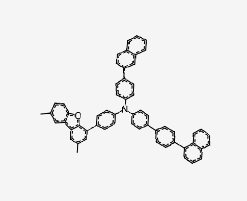 Cc1ccc2oc3c(-c4ccc(N(c5ccc(-c6ccc(-c7cccc8ccccc78)cc6)cc5)c5ccc(-c6ccc7ccccc7c6)cc5)cc4)cc(C)cc3c2c1